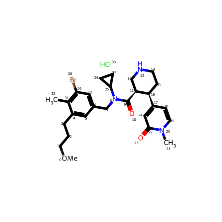 COCCCc1cc(CN(C(=O)[C@H]2CNCC[C@H]2c2ccn(C)c(=O)c2)C2CC2)cc(Br)c1C.Cl